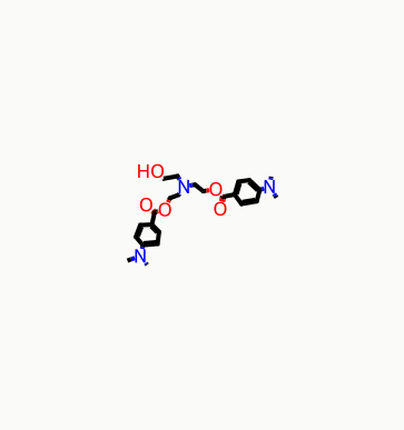 CN(C)c1ccc(C(=O)OCCN(CCO)CCOC(=O)c2ccc(N(C)C)cc2)cc1